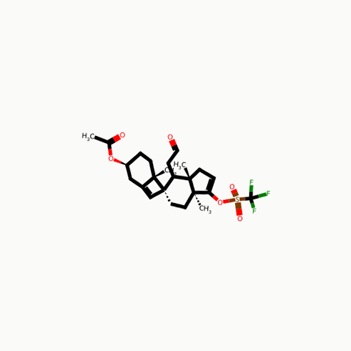 CC(=O)O[C@H]1CC[C@@]2(C)C(=C[C@@]23CC[C@]2(C)C(OS(=O)(=O)C(F)(F)F)=CC[C@@]2(C)C3CC=O)C1